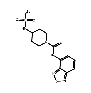 CC(C)(C)S(=O)(=O)NC1CCN(C(=O)Nc2cccc3nsnc23)CC1